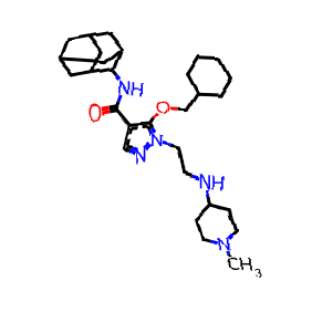 CN1CCC(NCCn2ncc(C(=O)NC3C4CC5CC(C4)CC3C5)c2OCC2CCCCC2)CC1